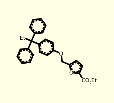 CCOC(=O)c1ccc(COc2ccc(C(CC)(c3ccccc3)c3ccccc3)cc2)o1